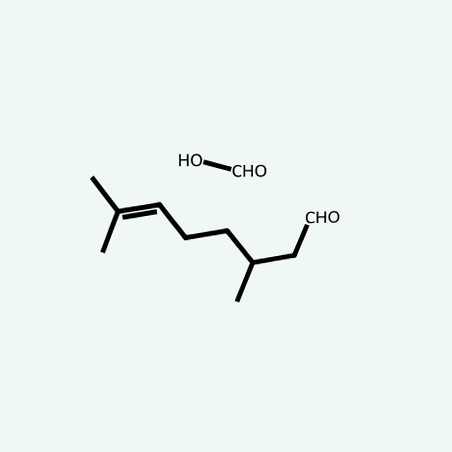 CC(C)=CCCC(C)CC=O.O=CO